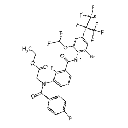 CCOC(=O)CN(C(=O)c1ccc(F)cc1)c1cccc(C(=O)Nc2c(Br)cc(C(F)(C(F)(F)F)C(F)(F)F)cc2OC(F)F)c1F